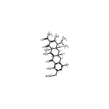 CCc1cc(CNC(C)=O)c(O)c2c1C[C@H]1C[C@H]3[C@H](N(C)C)C(O)=C(C(N)=O)C(=O)[C@@]3(O)C(O)=C1C2=O